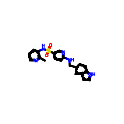 Cc1ncccc1NS(=O)(=O)c1ccc(NCc2ccc3[nH]ccc3c2)nc1